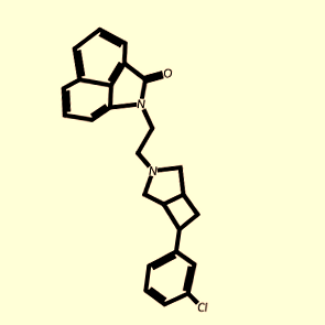 O=C1c2cccc3cccc(c23)N1CCN1CC2CC(c3cccc(Cl)c3)C2C1